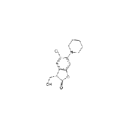 O=C1Oc2cc(N3CCCCC3)c(Cl)cc2C1CO